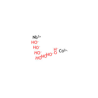 [Co+2].[Nb+5].[OH-].[OH-].[OH-].[OH-].[OH-].[OH-].[OH-]